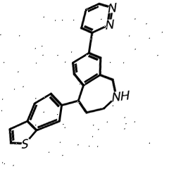 c1cnnc(-c2ccc3c(c2)CNCCC3c2ccc3ccsc3c2)c1